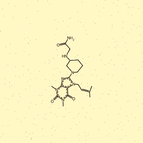 CC(C)=CCn1c(N2CCCC(NCC(N)=O)C2)nc2c1c(=O)n(C)c(=O)n2C